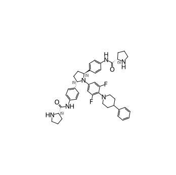 O=C(Nc1ccc([C@@H]2CC[C@@H](c3ccc(NC(=O)[C@@H]4CCCN4)cc3)N2c2cc(F)c(N3CCC(c4ccccc4)CC3)c(F)c2)cc1)[C@@H]1CCCN1